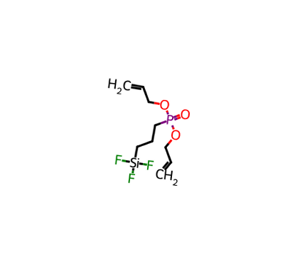 C=CCOP(=O)(CCC[Si](F)(F)F)OCC=C